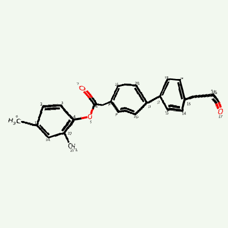 Cc1ccc(OC(=O)c2ccc(-c3ccc(C=O)cc3)cc2)c(C)c1